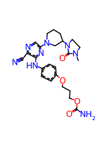 CN1CCN(C2CCCN(c3cnc(C#N)c(Nc4ccc(OCCCOC(N)=O)cc4)n3)C2)C1=O